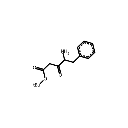 CC(C)(C)OC(=O)CC(=O)C(N)Cc1ccccc1